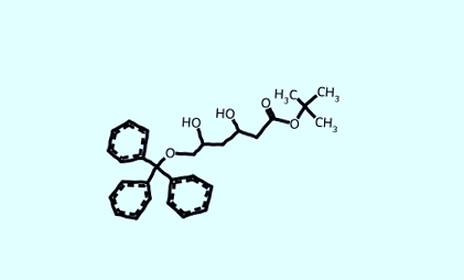 CC(C)(C)OC(=O)CC(O)CC(O)COC(c1ccccc1)(c1ccccc1)c1ccccc1